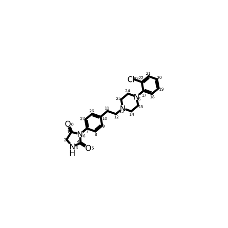 O=C1CNC(=O)N1c1ccc(CCN2CCN(c3ccccc3Cl)CC2)cc1